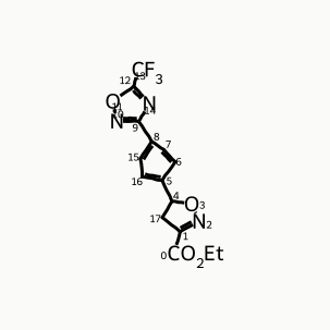 CCOC(=O)C1=NOC(c2ccc(-c3noc(C(F)(F)F)n3)cc2)C1